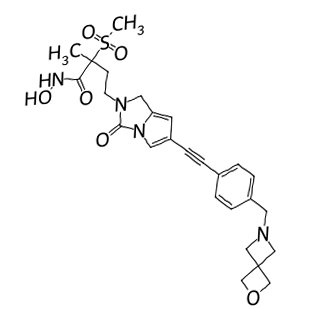 CC(CCN1Cc2cc(C#Cc3ccc(CN4CC5(COC5)C4)cc3)cn2C1=O)(C(=O)NO)S(C)(=O)=O